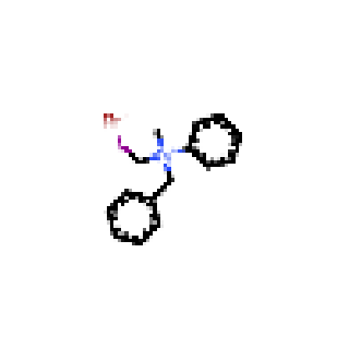 C[N+](CI)(Cc1ccccc1)c1ccccc1.[Br-]